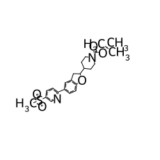 CC(C)(C)OC(=O)N1CCC(C2Cc3cc(-c4ccc(S(C)(=O)=O)cn4)ccc3O2)CC1